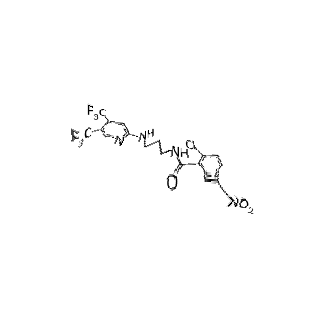 O=C(NCCCNc1cc(C(F)(F)F)c(C(F)(F)F)cn1)c1cc([N+](=O)[O-])ccc1Cl